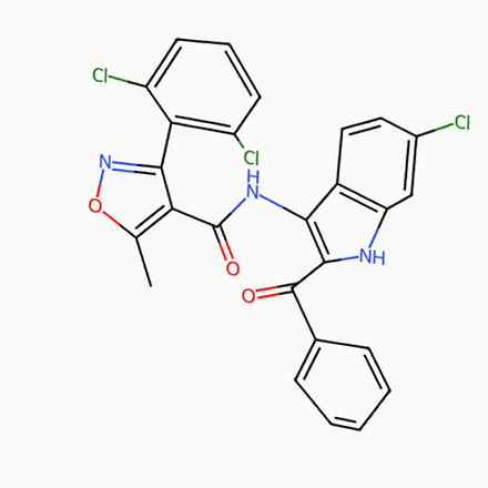 Cc1onc(-c2c(Cl)cccc2Cl)c1C(=O)Nc1c(C(=O)c2ccccc2)[nH]c2cc(Cl)ccc12